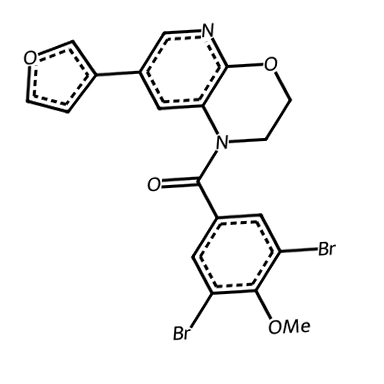 COc1c(Br)cc(C(=O)N2CCOc3ncc(-c4ccoc4)cc32)cc1Br